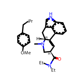 CCN(CC)C(=O)[C@@H]1C=C2c3cccc4[nH]cc(c34)C[C@H]2N(C)C1.COc1ccc(CC(C)C)cc1